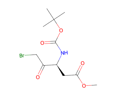 COC(=O)C[C@H](NC(=O)OC(C)(C)C)C(=O)CBr